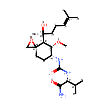 CO[C@@H]1[C@H](NC(=O)N[C@@H](C(N)=O)C(C)C)CC[C@]2(CO2)[C@H]1[C@@](C)(O)CCC=C(C)C